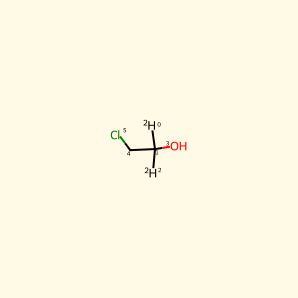 [2H]C([2H])(O)CCl